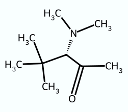 CC(=O)[C@@H](N(C)C)C(C)(C)C